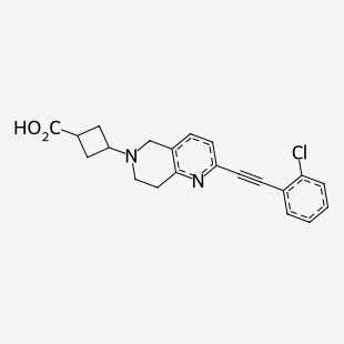 O=C(O)C1CC(N2CCc3nc(C#Cc4ccccc4Cl)ccc3C2)C1